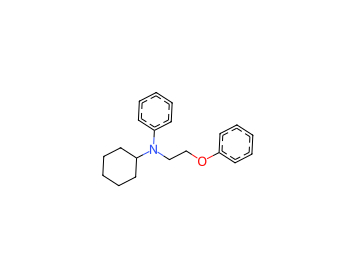 c1ccc(OCCN(c2ccccc2)C2CCCCC2)cc1